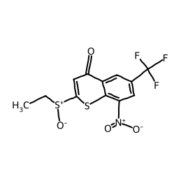 CC[S+]([O-])c1cc(=O)c2cc(C(F)(F)F)cc([N+](=O)[O-])c2s1